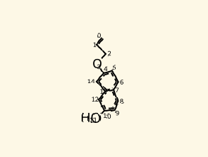 C=CCOc1ccc2ccc(O)cc2c1